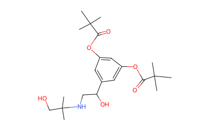 CC(C)(CO)NCC(O)c1cc(OC(=O)C(C)(C)C)cc(OC(=O)C(C)(C)C)c1